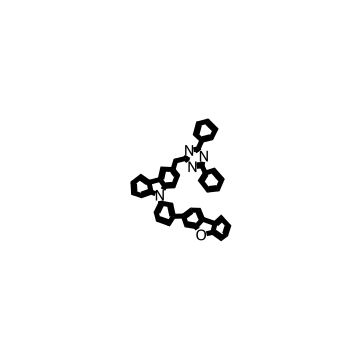 c1ccc(-c2nc(Cc3ccc4c(c3)c3ccccc3n4-c3cccc(-c4ccc5c(c4)oc4ccccc45)c3)nc(-c3ccccc3)n2)cc1